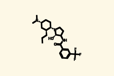 CCC[C@H]1C[C@H](N(C)C)CC[C@@H]1N1CCC(NC(=O)c2cccc(C(F)(F)F)c2)[C@@H]1O